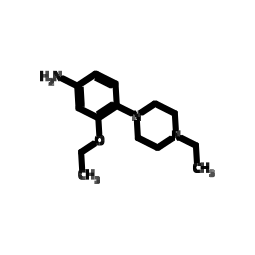 CCOc1cc(N)ccc1N1CCN(CC)CC1